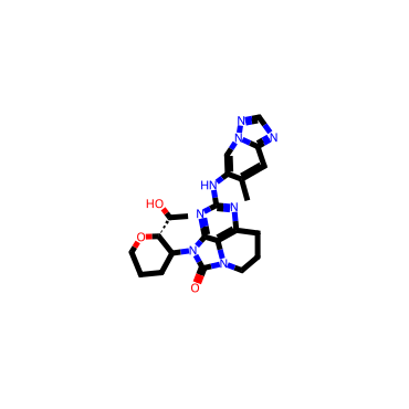 Cc1cc2ncnn2cc1Nc1nc2c3c(n1)n(C1CCCO[C@@H]1C(C)O)c(=O)n3CCC2